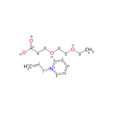 C=CC[n+]1ccccc1.CCOCCOCCC(=O)[O-]